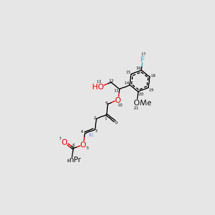 C=C(C/C=C/OC(=O)CCC)COC(CO)c1cc(F)ccc1OC